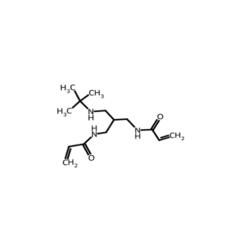 C=CC(=O)NCC(CNC(=O)C=C)CNC(C)(C)C